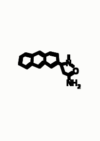 CN(C)C(CC(N)=O)c1ccc2cc3ccccc3cc2c1